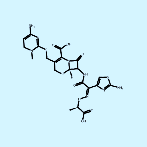 C[C@@H](O/N=C(\C(=O)NC1C(=O)N2C(C(=O)O)=C(CSC3=NC(N)=CCN3C)CS[C@@H]12)c1csc(N)n1)C(=O)O